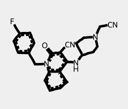 N#CCN1CCC(Nc2c(C#N)c(=O)n(Cc3ccc(F)cc3)c3ccccc23)CC1